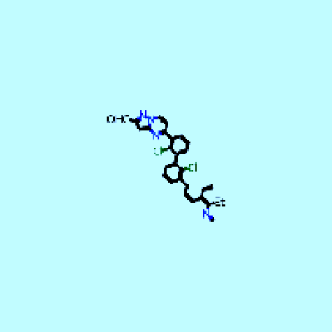 C=CC(/C=C\Cc1cccc(-c2cccc(-c3ccn4nc(C=O)cc4n3)c2Cl)c1Cl)=C(\CC)N=C